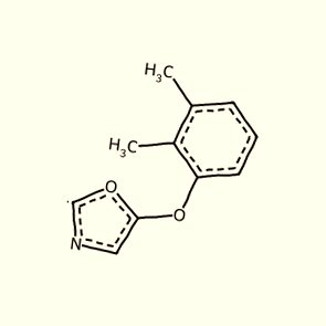 Cc1cccc(Oc2cn[c]o2)c1C